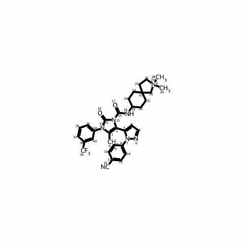 Cc1c(-c2ccnn2-c2ccc(C#N)cc2)n(C(=O)NC2CCC3(CC2)CC[N+](C)(C)C3)c(=O)n1-c1cccc(C(F)(F)F)c1